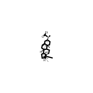 CCC(=O)N(C)[C@H]1CC[C@@]2(C)C(=CC[C@@H]3C2CC[C@]24CN(C)[C@@H](C)[C@H]2CC[C@@H]34)C1